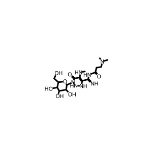 CNC1=C(C(=N)NC(=O)CCN(C)C)NNN(C2OC(CO)C(O)C(O)C2O)C1=O